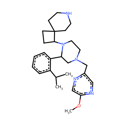 COc1cnc(CN2CCN(C3CCC34CCNCC4)C(c3ccccc3C(C)C)C2)cn1